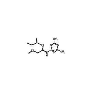 CCC(C)OC(COC)Nc1nc(N)nc(N)n1